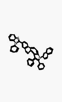 c1ccc(-c2c(-c3ccccc3)n(-c3ccc4ccccc4c3)c3ccc4c5ccc(-c6nc7ccccc7n6-c6ccccc6)cc5ccc4c23)cc1